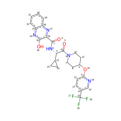 O=C(N[C@H](C(=O)N1CCC(Oc2ccc(C(F)(F)F)cn2)CC1)C1CC1)c1nc2ccccc2nc1O